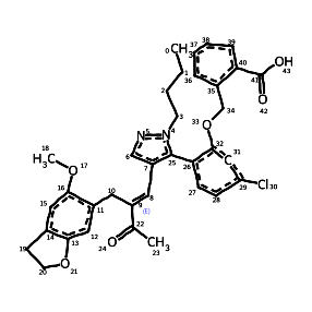 CCCCn1ncc(/C=C(\Cc2cc3c(cc2OC)CCO3)C(C)=O)c1-c1ccc(Cl)cc1OCc1ccccc1C(=O)O